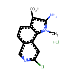 Cl.Cn1c(N)c(C(=O)O)c2ccc3cnc(Cl)cc3c21